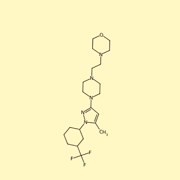 Cc1cc(N2CCN(CCN3CCOCC3)CC2)nn1C1CCCC(C(F)(F)F)C1